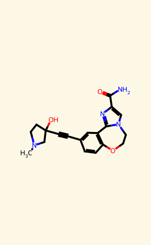 CN1CCC(O)(C#Cc2ccc3c(c2)-c2nc(C(N)=O)cn2CCO3)C1